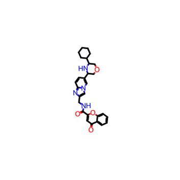 O=C(NCc1cn2cc(C3COCC(C4CCCCC4)N3)ccc2n1)c1cc(=O)c2ccccc2o1